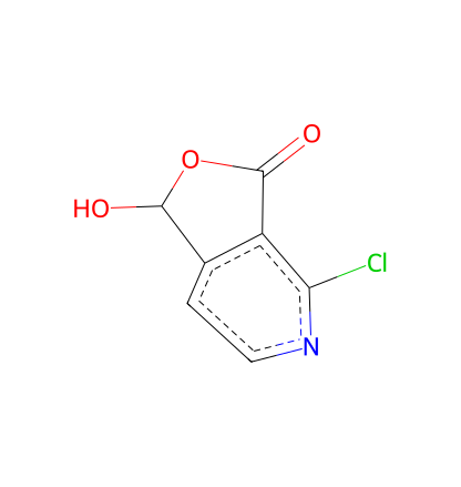 O=C1OC(O)c2ccnc(Cl)c21